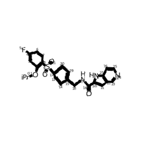 CC(C)Oc1cc(F)ccc1S(=O)(=O)c1ccc(CNC(=O)c2cc3cnccc3[nH]2)cc1